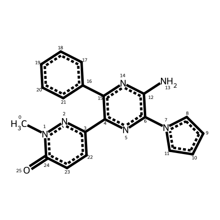 Cn1nc(-c2nc(-n3cccc3)c(N)nc2-c2ccccc2)ccc1=O